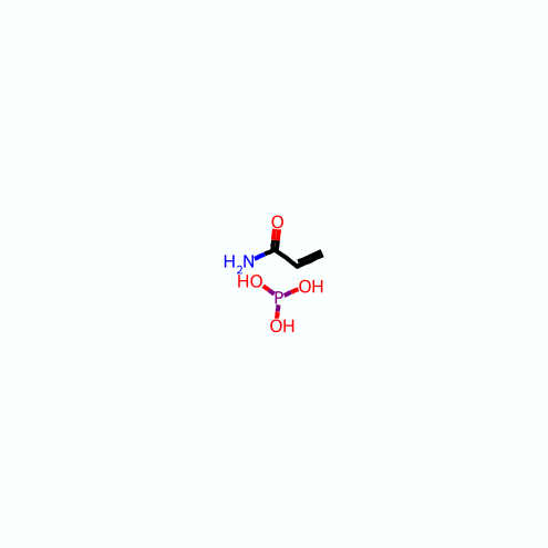 C=CC(N)=O.OP(O)O